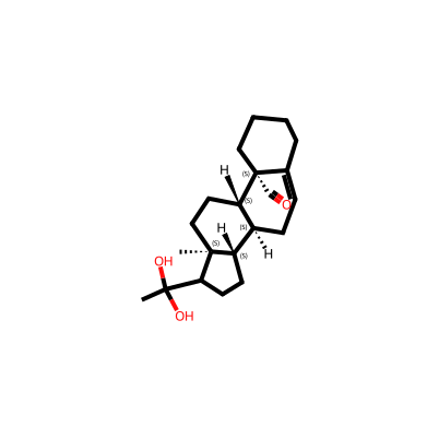 CC(O)(O)C1CC[C@H]2[C@@H]3CC=C4CCCC[C@]4(C=O)[C@H]3CC[C@]12C